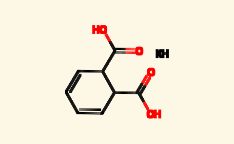 O=C(O)C1C=CC=CC1C(=O)O.[KH]